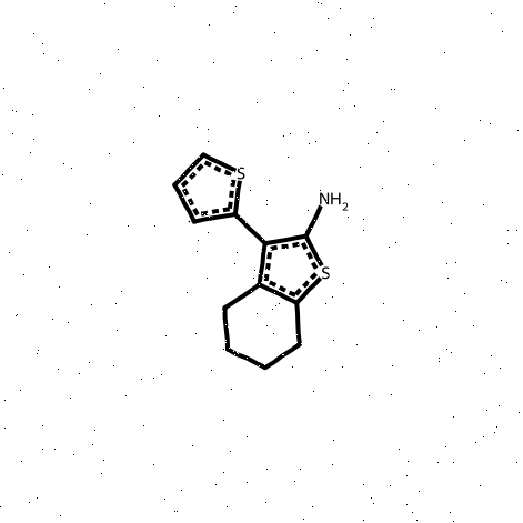 Nc1sc2c(c1-c1[c]ccs1)CCCC2